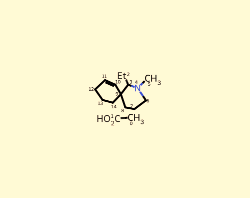 CC(=O)O.CCC1N(C)CCCC12C=CCCC2